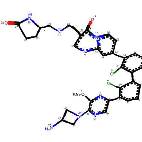 COc1nc(-c2cccc(-c3cccc(-c4ccn5c(=O)c(CNCC6CCC(=O)N6)cnc5c4)c3Cl)c2Cl)cnc1N1CC(N)C1